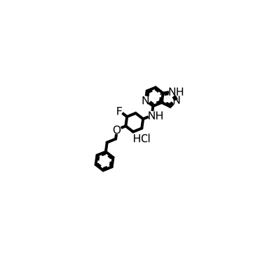 Cl.FC1CC(Nc2nccc3[nH]ncc23)CCC1OCCc1ccccc1